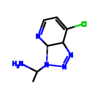 CC(N)N1N=NC2C(Cl)=CC=NC21